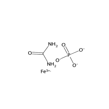 NC(N)=O.O=P([O-])([O-])[O-].[Fe+3]